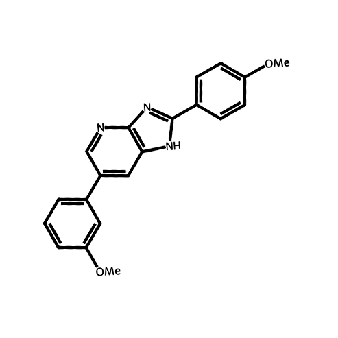 COc1ccc(-c2nc3ncc(-c4cccc(OC)c4)cc3[nH]2)cc1